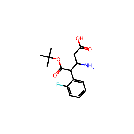 CC(C)(C)OC(=O)C(c1ccccc1F)C(N)CC(=O)O